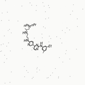 CCCN(CCC)CC(C)NCCCNc1ccc(-c2ccnc(Nc3cc(C)cc(CC)c3)n2)cn1